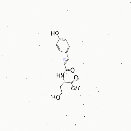 O=C(/C=C/c1ccc(O)cc1)NC(CCO)C(=O)O